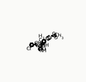 Cc1cc(N2CCN(CCS(C)(=O)=O)CC2)cc2[nH]c(-c3c(NCC(O)c4cccc(Cl)c4)cc[nH]c3=O)nc12